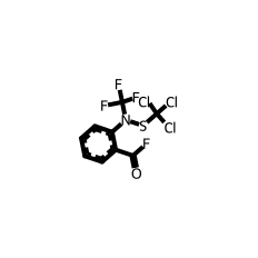 O=C(F)c1ccccc1N(SC(Cl)(Cl)Cl)C(F)(F)F